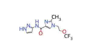 Cc1nc(C(=O)Nc2cc[nH]n2)cn1CCOC(F)(F)F